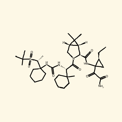 CC[C@H]1CC1(NC(=O)[C@@H]1[C@@H]2[C@H](CN1C(=O)[C@@H](NC(=O)NC1([C@@H](C)S(=O)(=O)C(C)(C)C)CCCCC1)C1(C)CCCCC1)C2(C)C)C(=O)C(N)=O